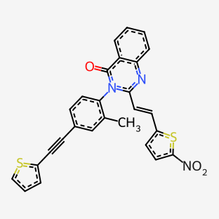 Cc1cc(C#Cc2cccs2)ccc1-n1c(C=Cc2ccc([N+](=O)[O-])s2)nc2ccccc2c1=O